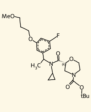 COCCCOc1cc(F)cc(C(C)N(C(=O)[C@H]2CN(C(=O)OC(C)(C)C)CCO2)C2CC2)c1